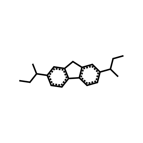 CCC(C)c1ccc2c(c1)Cc1cc(C(C)CC)ccc1-2